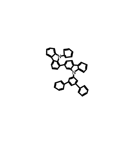 c1ccc(-c2cc(-c3ccccc3)cc(-n3c4ccccc4c4ccc(-c5cccc6c7ccccc7n(-c7ccccc7)c56)cc43)c2)cc1